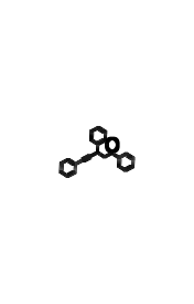 O=C(CC(C#Cc1ccccc1)c1ccccc1)c1ccccc1